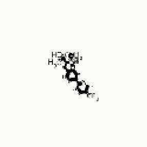 CC(C)(O)C(Cc1ccc(-c2ccc(C(F)(F)F)cn2)cc1)S(N)(=O)=O